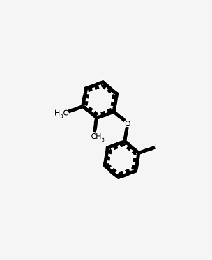 Cc1cccc(Oc2ccc[c]c2I)c1C